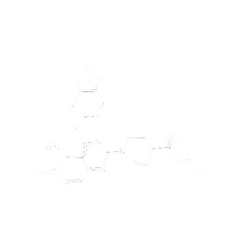 CCOC(=O)C1CCN(c2nc(Cc3ccc4c(c3)OCO4)c3c(N)c(Cl)ccc3n2)CC1